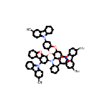 CC(C)(C)c1ccc2c(c1)c1cc(C(C)(C)C)ccc1n2-c1cc2c3c(c1)N(c1ccccc1-c1ccccc1)c1cc(-n4c5ccccc5c5cc(C#N)ccc54)c4c(oc5ccccc54)c1B3c1ccc(-n3c4ccccc4c4cc(C#N)ccc43)cc1O2